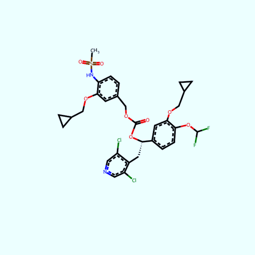 CS(=O)(=O)Nc1ccc(COC(=O)O[C@@H](Cc2c(Cl)cncc2Cl)c2ccc(OC(F)F)c(OCC3CC3)c2)cc1OCC1CC1